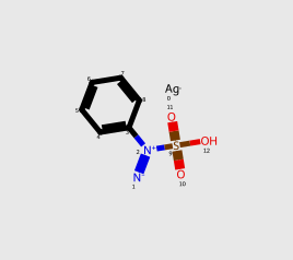 [Ag].[N-]=[N+](c1ccccc1)S(=O)(=O)O